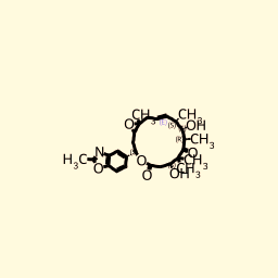 Cc1nc2cc([C@@H]3CC4OC4(C)C/C=C/[C@H](C)[C@H](O)[C@@H](C)C(=O)C(C)(C)[C@@H](O)CC(=O)O3)ccc2o1